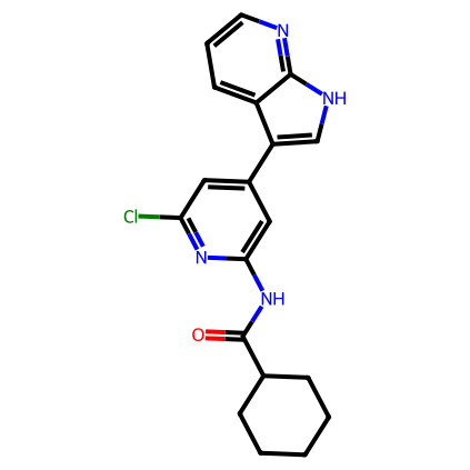 O=C(Nc1cc(-c2c[nH]c3ncccc23)cc(Cl)n1)C1CCCCC1